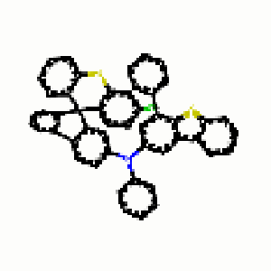 Clc1ccc2c(c1)Sc1ccccc1C21c2ccccc2-c2ccc(N(c3ccccc3)c3cc(-c4ccccc4)c4sc5ccccc5c4c3)cc21